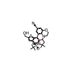 CC1(C)CC(N2CCOc3cc(C#N)cc(-c4ccnc5cc(CO)sc45)c32)CN1S(=O)(=O)C(C)(C)C